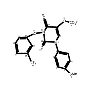 CSc1ccc(-n2cc(OC(=O)O)c(=O)n(Cc3cccc(C(F)(F)F)c3)c2=O)cc1